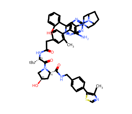 Cc1cc(CC(=O)N[C@H](C(=O)N2C[C@H](O)C[C@H]2C(=O)NCc2ccc(-c3scnc3C)cc2)C(C)(C)C)ccc1-c1cnc(N2C3CCC2CN(c2cc(-c4ccccc4O)nnc2N)C3)nc1